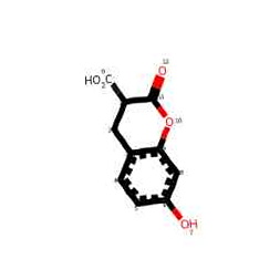 O=C(O)C1Cc2ccc(O)cc2OC1=O